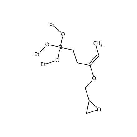 CC=C(CC[Si](OCC)(OCC)OCC)OCC1CO1